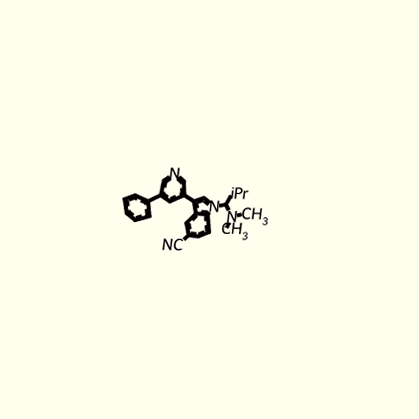 CC(C)C(N(C)C)n1cc(-c2cncc(-c3ccccc3)c2)c2cc(C#N)ccc21